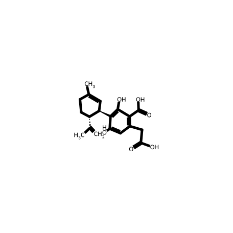 C=C(C)[C@@H]1CCC(C)=C[C@H]1c1c(O)cc(CC(=O)O)c(C(=O)O)c1O